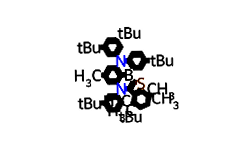 Cc1cc2c3c(c1)N(c1cc(C(C)(C)C)cc(C(C)(C)C)c1)c1c(sc4c1C(C)(C)CCC4(C)C)B3c1cc(C(C)(C)C)ccc1N2c1cc(C(C)(C)C)cc(C(C)(C)C)c1